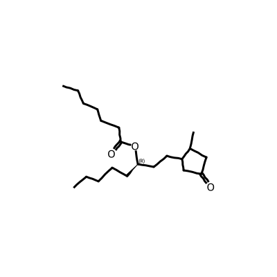 CCCCCCC(=O)O[C@H](CCCCC)CCC1CC(=O)CC1C